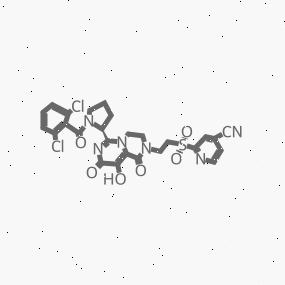 N#Cc1ccnc(S(=O)(=O)CCN2CCn3c([C@@H]4CCCN4C(=O)c4c(Cl)cccc4Cl)nc(=O)c(O)c3C2=O)c1